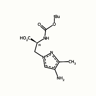 Cc1nn(C[C@H](NC(=O)OC(C)(C)C)C(=O)O)cc1N